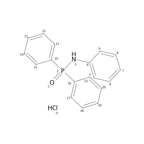 Cl.O=P(Nc1ccccc1)(c1ccccc1)c1ccccc1